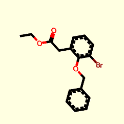 CCOC(=O)Cc1cccc(Br)c1OCc1ccccc1